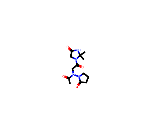 CC(=O)N(CC(=O)N1CC(=O)NC1(C)C)N1CCCC1=O